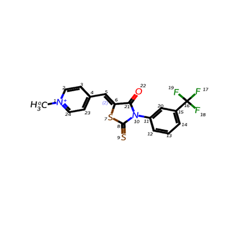 C[n+]1ccc(/C=C2\SC(=S)N(c3cccc(C(F)(F)F)c3)C2=O)cc1